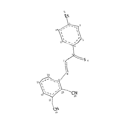 CCc1ccc(C(=S)C=Cc2cccc(C#N)c2C#N)cc1